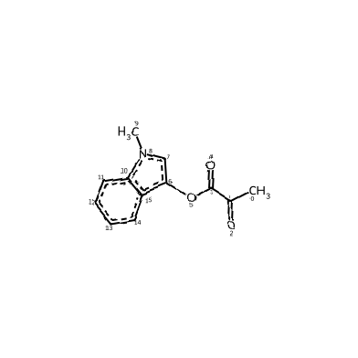 CC(=O)C(=O)Oc1cn(C)c2ccccc12